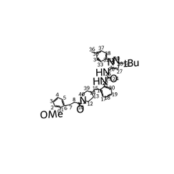 COc1ccccc1CCC(=O)N1CCC(Cc2ccccc2NC(=O)Nc2cc(C(C)(C)C)nn2-c2ccc(C)cc2)CC1